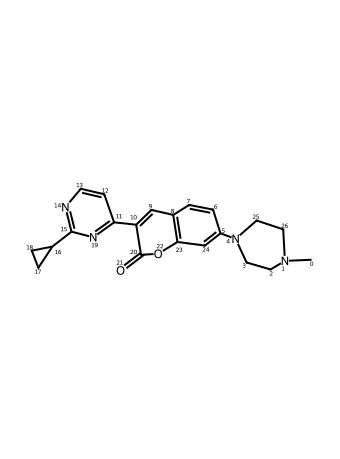 CN1CCN(c2ccc3cc(-c4ccnc(C5CC5)n4)c(=O)oc3c2)CC1